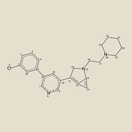 Clc1cccc(-c2cncc(C3=C4C=C4N(CCN4CCCCC4)C3)c2)c1